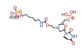 CCCCCCCCOP(=O)(O)OCCCCCCNC(=O)OCCN1C[C@@H](COP(=O)(O)O)O[C@@H](n2ccc(=O)[nH]c2=O)C1